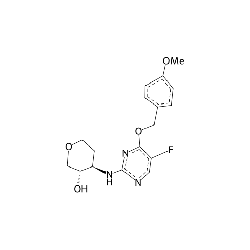 COc1ccc(COc2nc(N[C@@H]3CCOC[C@H]3O)ncc2F)cc1